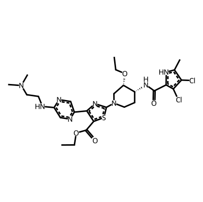 CCOC(=O)c1sc(N2CC[C@@H](NC(=O)c3[nH]c(C)c(Cl)c3Cl)[C@@H](OCC)C2)nc1-c1cnc(NCCN(C)C)cn1